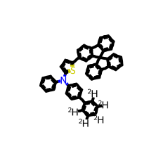 [2H]c1c([2H])c([2H])c(-c2ccc(N(c3ccccc3)c3ccc(-c4ccc5c(c4)C4(c6ccccc6-c6ccccc64)c4ccccc4-5)s3)cc2)c([2H])c1[2H]